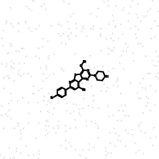 CCOc1nc(N2CCNCC2)nc2c1sc1nc(-c3ccc(Br)cc3)cc(CC)c12